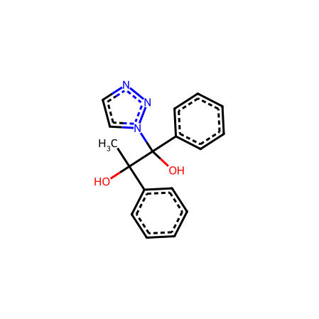 CC(O)(c1ccccc1)C(O)(c1ccccc1)n1ccnn1